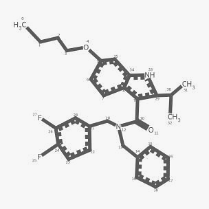 CCCCOc1ccc2c(C(=O)N(Cc3ccccc3)Cc3ccc(F)c(F)c3)c(C(C)C)[nH]c2c1